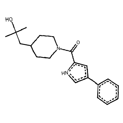 CC(C)(O)CC1CCN(C(=O)c2cc(-c3ccccc3)c[nH]2)CC1